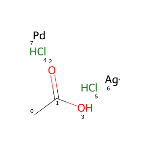 CC(=O)O.Cl.Cl.[Ag].[Pd]